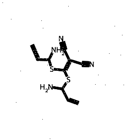 C=CC(N)SC(SC(N)C=C)=C(C#N)C#N